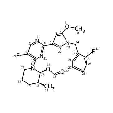 COc1cc(-c2ncc(F)c(N3CCC[C@H](C)[C@@H]3OC=O)n2)nn1Cc1ccccc1F